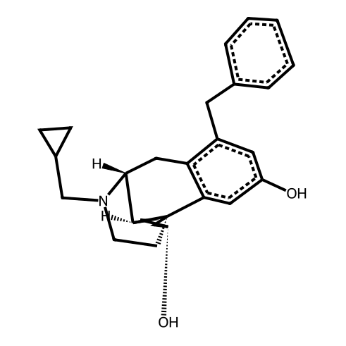 Oc1cc(Cc2ccccc2)c2c(c1)[C@]13CCN(CC4CC4)[C@H](C2)[C@@H]1CC[C@@H](O)C3